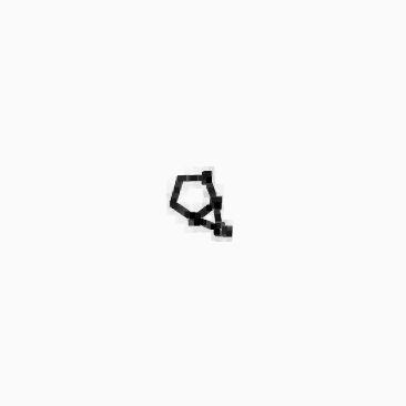 C1C[N]2[Cu][N]2S1